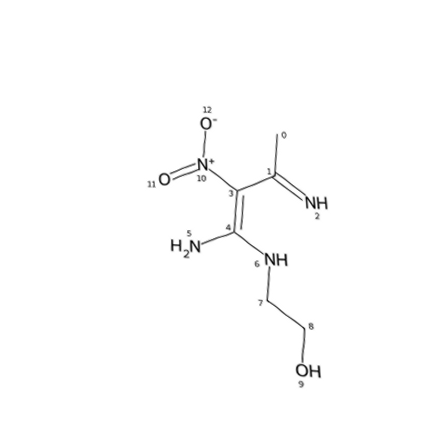 CC(=N)/C(=C(/N)NCCO)[N+](=O)[O-]